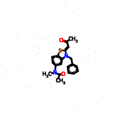 CC(=O)/C=C1\Sc2ccc(N(C)C(C)=O)cc2N1Cc1ccccc1